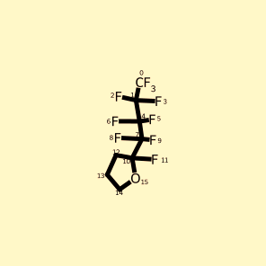 FC(F)(F)C(F)(F)C(F)(F)C(F)(F)C1(F)CCCO1